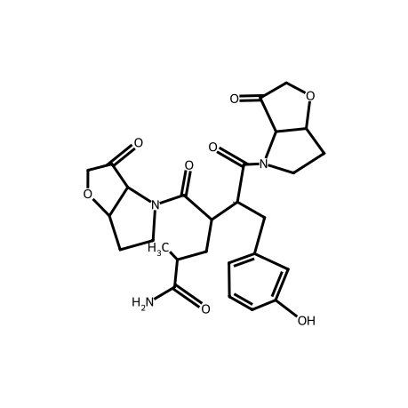 CC(CC([C](Cc1cccc(O)c1)C(=O)N1CCC2OCC(=O)C21)C(=O)N1CCC2OCC(=O)C21)C(N)=O